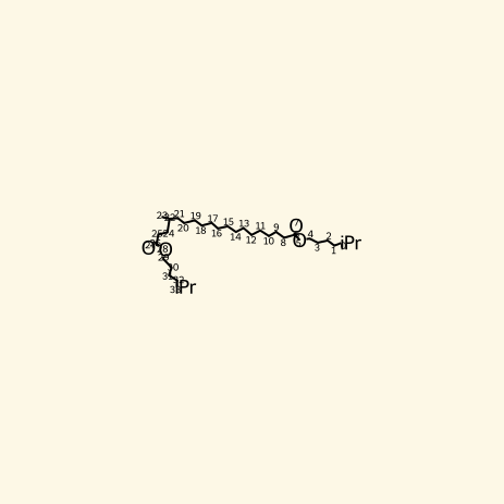 CC(C)CCCCOC(=O)CCCCCCCCCCCCCCC(C)CCC(=O)OCCCCC(C)C